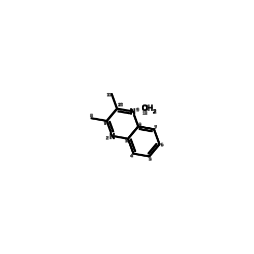 Cc1nc2ccccc2nc1C.O